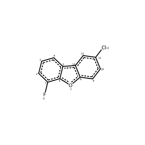 Fc1cccc2c1oc1ccc(Cl)cc12